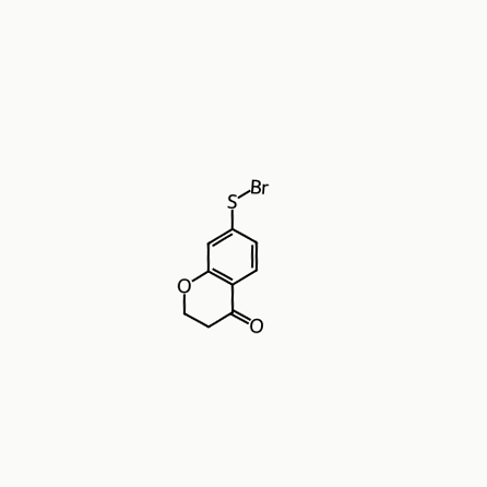 O=C1CCOc2cc(SBr)ccc21